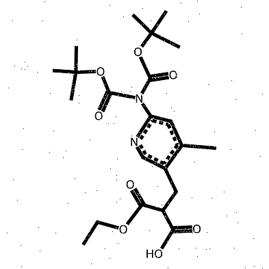 CCOC(=O)C(Cc1cnc(N(C(=O)OC(C)(C)C)C(=O)OC(C)(C)C)cc1C)C(=O)O